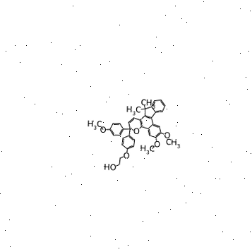 COc1ccc(C2(c3ccc(OCCO)cc3)C=Cc3c4c(c5cc(OC)c(OC)cc5c3O2)-c2ccccc2C4(C)C)cc1